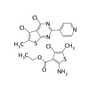 CCOC(=O)c1c(N)sc(C)c1Cl.Cc1sc2nc(-c3ccncc3)nc(Cl)c2c1Cl